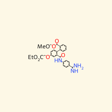 CCOC(=O)COc1ccc(-c2ccccc2C(=O)OCOC)c(C(=O)Nc2ccc(C(=N)N)cc2)c1